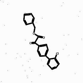 O=C(OCc1ccccc1)C(=O)c1ccc(-c2ccccc2Cl)cc1